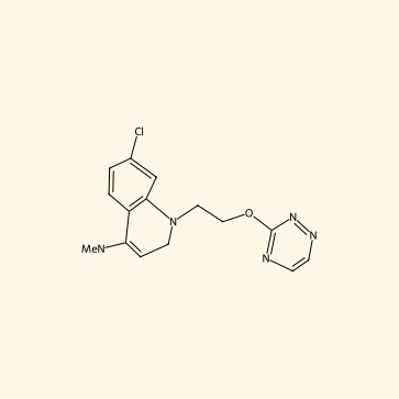 CNC1=CCN(CCOc2nccnn2)c2cc(Cl)ccc21